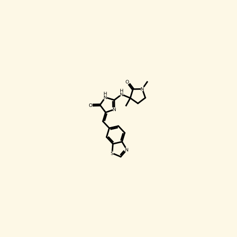 CN1CCC(C)(NC2=N/C(=C\c3ccc4ncsc4c3)C(=O)N2)C1=O